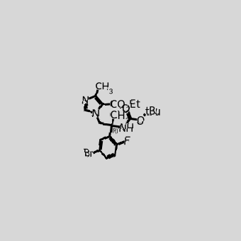 CCOC(=O)c1c(C)ncn1C[C@](C)(NC(=O)OC(C)(C)C)c1cc(Br)ccc1F